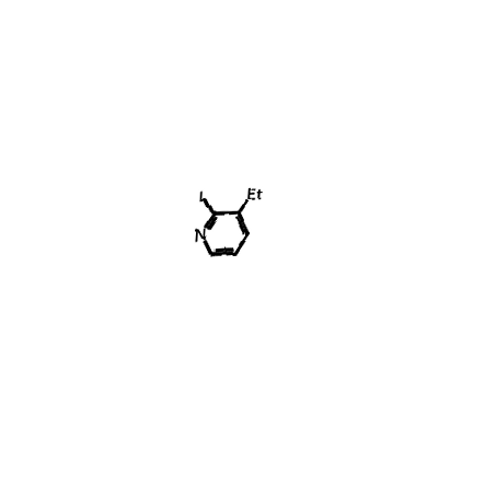 [CH2]Cc1cccnc1I